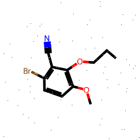 CCCOc1c(OC)ccc(Br)c1C#N